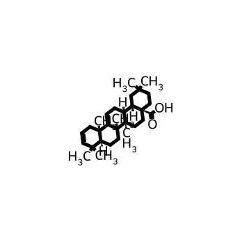 CC1(C)CC[C@]2(C(=O)O)CC[C@]3(C)[C@H](CC=C4[C@@]5(C)CC=CC(C)(C)[C@@H]5CC[C@]43C)[C@@H]2C1